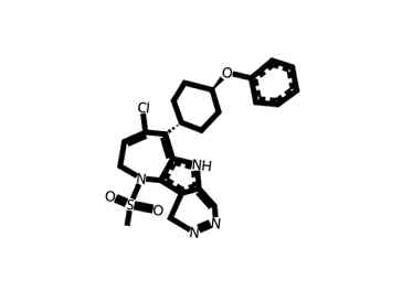 CS(=O)(=O)N1CC=C(Cl)C([C@H]2CC[C@H](Oc3ccccc3)CC2)=c2[nH]c3c(c21)CN=NC=3